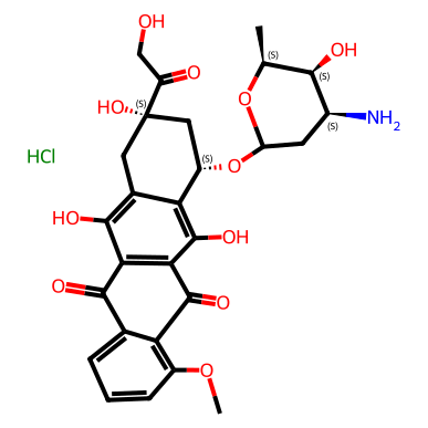 COc1cccc2c1C(=O)c1c(O)c3c(c(O)c1C2=O)C[C@@](O)(C(=O)CO)C[C@@H]3OC1C[C@H](N)[C@H](O)[C@H](C)O1.Cl